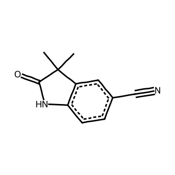 CC1(C)C(=O)Nc2ccc(C#N)cc21